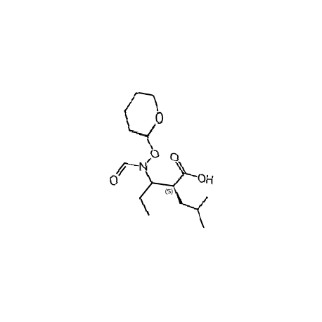 CCC([C@H](CC(C)C)C(=O)O)N(C=O)OC1CCCCO1